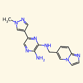 Cn1cc(-c2cnc(N)c(NCc3ccc4nccn4c3)n2)cn1